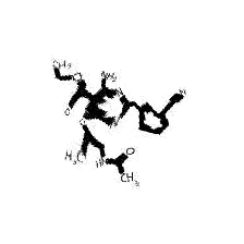 CCOC(=O)c1c(N)nc(-c2cccc(C#N)c2)nc1OC(C)CNC(C)=O